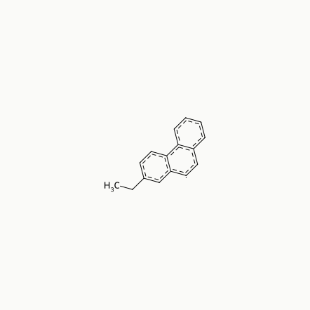 CCc1ccc2c([c]cc3ccccc32)c1